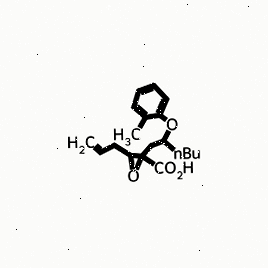 C=CCC1OC1(CC(CCCC)Oc1ccccc1C)C(=O)O